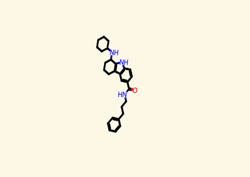 O=C(NCCCc1ccccc1)c1ccc2[nH]c3c(c2c1)CCCC3NC1CCCCC1